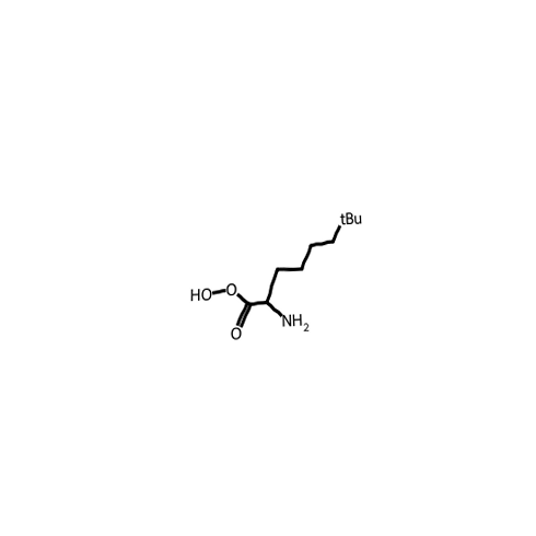 CC(C)(C)CCCCC(N)C(=O)OO